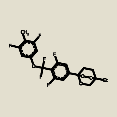 CCC12CCC(c3cc(F)c(C(F)(F)Oc4cc(F)c(C)c(F)c4)c(F)c3)(OC1)OC2